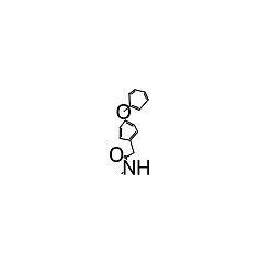 CNC(=O)Cc1ccc(Oc2ccccc2)cc1